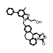 Cc1cc(-c2ccccc2)cc2c1nc(CCO)n2Cc1ccc2c(c1)CCc1ccccc1C2=Cc1noc(=O)[nH]1